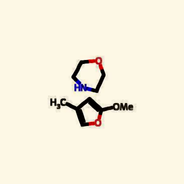 C1COCCN1.COc1cc(C)co1